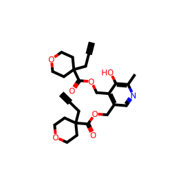 C#CCC1(C(=O)OCc2cnc(C)c(O)c2COC(=O)C2(CC#C)CCOCC2)CCOCC1